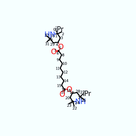 CC(C)C1(C)CC(OC(=O)CCCCCCCCC(=O)OC2CC(C)(C)NC(C)(C(C)C)C2)CC(C)(C)N1